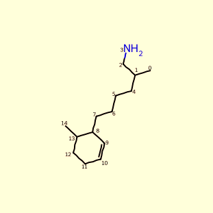 CC(CN)CCCCC1C=CCCC1C